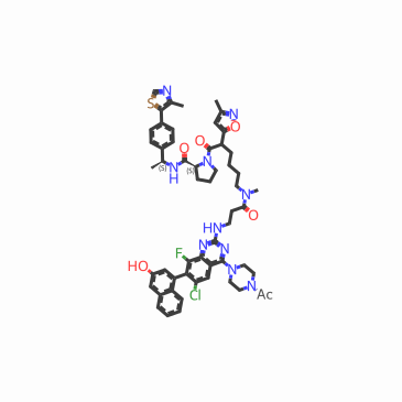 CC(=O)N1CCN(c2nc(NCCC(=O)N(C)CCCCC(C(=O)N3CCC[C@H]3C(=O)N[C@@H](C)c3ccc(-c4scnc4C)cc3)c3cc(C)no3)nc3c(F)c(-c4cc(O)cc5ccccc45)c(Cl)cc23)CC1